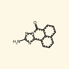 Nc1nc2c3cccc4cccc(c(=O)n2n1)c43